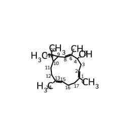 C/C1=C\CC(O)/C(C)=C/C2C(CC/C(C)=C/CC1)C2(C)C